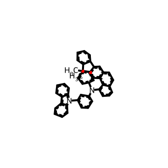 CC1(C)c2ccccc2-c2cc3ccc4cccc(N(c5ccccc5)c5cccc(-n6c7ccccc7c7ccccc76)c5)c4c3cc21